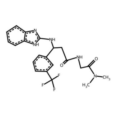 CN(C)C(=O)CNC(=O)CC(Nc1nc2ccccc2[nH]1)c1cccc(C(F)(F)F)c1